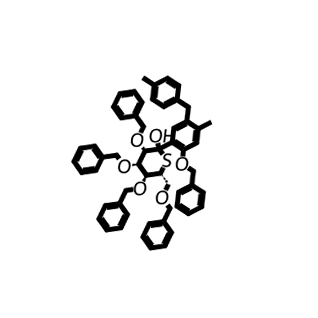 Cc1ccc(Cc2cc(C3(O)S[C@H](COCc4ccccc4)[C@@H](OCc4ccccc4)[C@H](OCc4ccccc4)[C@H]3OCc3ccccc3)c(OCc3ccccc3)cc2C)cc1